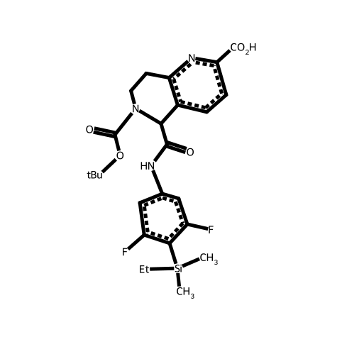 CC[Si](C)(C)c1c(F)cc(NC(=O)C2c3ccc(C(=O)O)nc3CCN2C(=O)OC(C)(C)C)cc1F